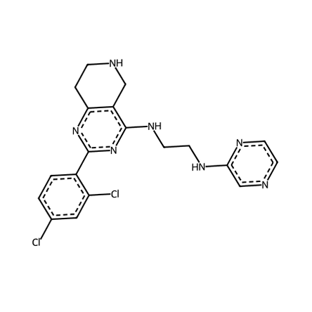 Clc1ccc(-c2nc3c(c(NCCNc4cnccn4)n2)CNCC3)c(Cl)c1